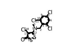 CN(Cc1c(Cl)cc(Cl)cc1Cl)c1ssc(=O)c1Cl